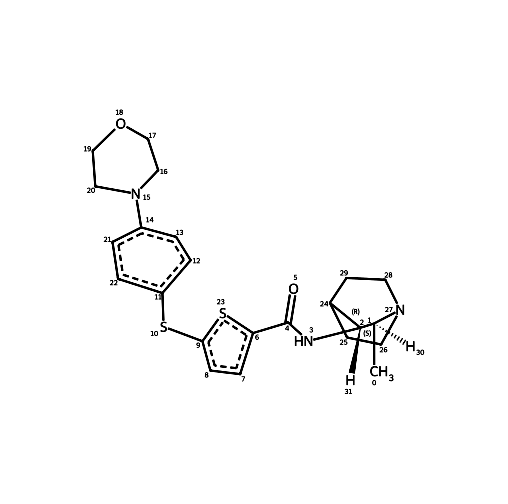 C[C@H]1[C@H](NC(=O)c2ccc(Sc3ccc(N4CCOCC4)cc3)s2)C2CCN1CC2